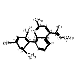 CCC(=NOC)c1cc(C)nc2c(-c3c(C)cc(Br)cc3C)cccc12